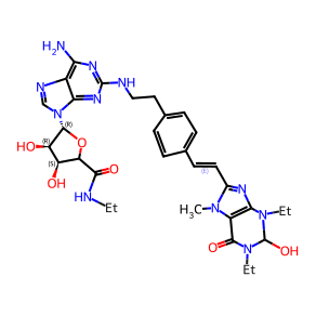 CCNC(=O)C1O[C@@H](n2cnc3c(N)nc(NCCc4ccc(/C=C/c5nc6c(n5C)C(=O)N(CC)C(O)N6CC)cc4)nc32)[C@H](O)[C@@H]1O